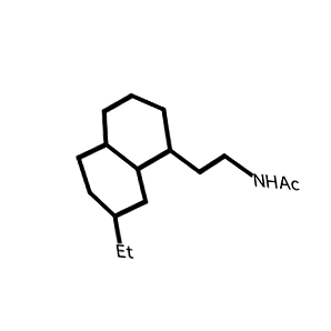 CCC1CCC2CCCC(CCNC(C)=O)C2C1